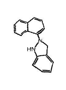 c1ccc2c(c1)CN(c1cccc3ccccc13)N2